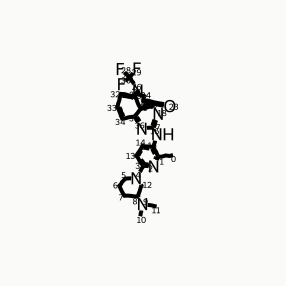 Cc1nc(N2CCCC(N(C)C)C2)ccc1NC1=NCC23CC(=O)CCN(C(F)(F)F)C2=CC=CC3=N1